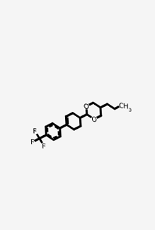 CCCC1COC(C2CC=C(c3ccc(C(F)(F)F)cc3)CC2)OC1